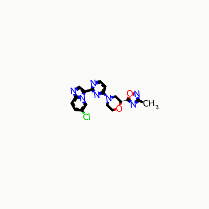 Cc1noc([C@H]2CN(c3ccnc(-c4cnc5ccc(Cl)cn45)n3)CCO2)n1